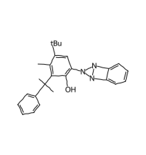 Cc1c(C(C)(C)C)cc(-n2n3c4ccccc4n23)c(O)c1C(C)(C)c1ccccc1